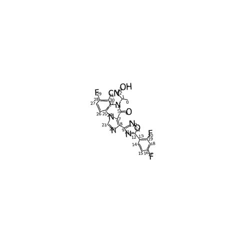 CC(CO)n1c(=O)c2c(-c3noc(-c4ccc(F)cc4F)n3)ncn2c2ccc(F)c(C#N)c21